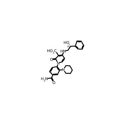 NC(=O)c1ccc(-n2ccc(NC[C@H](O)c3ccccc3)c(C(=O)O)c2=O)c(N2CCCCC2)c1